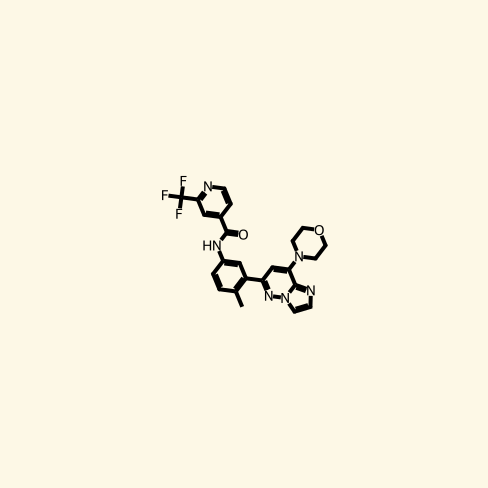 Cc1ccc(NC(=O)c2ccnc(C(F)(F)F)c2)cc1-c1cc(N2CCOCC2)c2nccn2n1